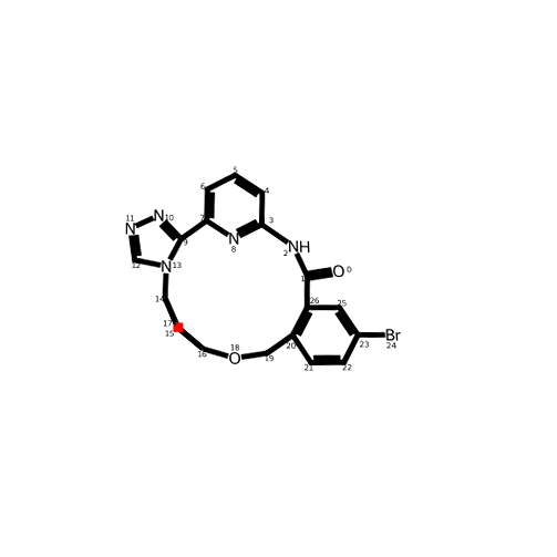 O=C1Nc2cccc(n2)-c2nncn2C2CC(C2)OCc2ccc(Br)cc21